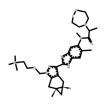 Cc1cc2[nH]c(-c3nn(COCC[Si](C)(C)C)c4c3C[C@@H]3C[C@]3(C)C4)nc2cc1N(C)C(=O)C(C)N1CCCOCC1